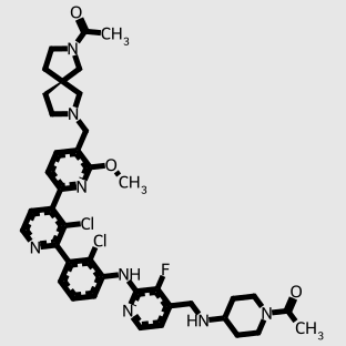 COc1nc(-c2ccnc(-c3cccc(Nc4nccc(CNC5CCN(C(C)=O)CC5)c4F)c3Cl)c2Cl)ccc1CN1CC[C@]2(CCN(C(C)=O)C2)C1